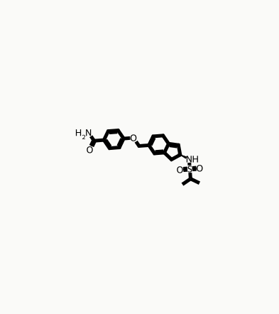 CC(C)S(=O)(=O)N[C@@H]1C=C2CC=C(COc3ccc(C(N)=O)cc3)C=C2C1